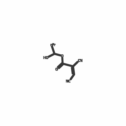 CCCC(O)OC(=O)/C(C#N)=C\C#N